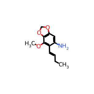 CC/C=C/c1c(N)cc2c(c1OC)OCO2